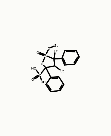 CCOP1(=O)OC(c2ccccc2)(P(=O)(O)O)C(CC)C1(CC)c1ccccc1